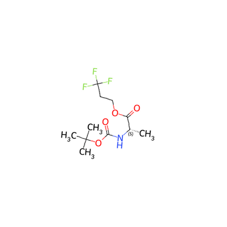 C[C@H](NC(=O)OC(C)(C)C)C(=O)OCCC(F)(F)F